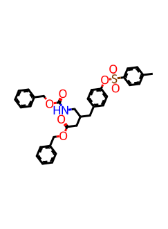 Cc1ccc(S(=O)(=O)Oc2ccc(CC(CNC(=O)OCc3ccccc3)CC(=O)OCc3ccccc3)cc2)cc1